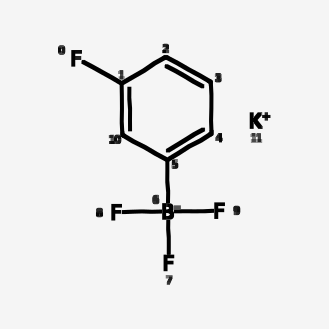 Fc1cccc([B-](F)(F)F)c1.[K+]